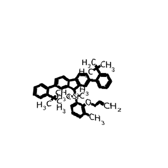 C=CCOc1c(C)cccc1[Si](C)(C)C1c2cc(-c3ccccc3C(C)(C)C)ccc2-c2ccc(-c3ccccc3C(C)(C)C)cc21